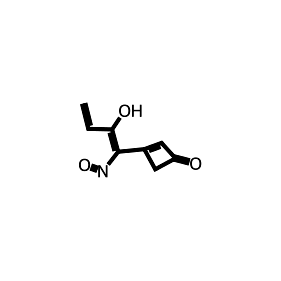 C=CC(O)=C(N=O)C1=CC(=O)C1